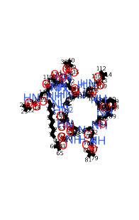 CCCCCCCC[C@H](N)C(=O)N[C@@H](CCNC(=O)OC(C)(C)C)C(=O)N[C@H](C(=O)N[C@@H](CNC(=O)OC(C)(C)C)C(=O)N[C@H]1CCNC(=O)[C@H]([C@@H](C)O)NC(=O)[C@H](CCNC(=O)OC(C)(C)C)NC(=O)[C@H](CCNC(=O)OC(C)(C)C)NC(=O)[C@H](CC(C)C)NC(O)[C@@H](Cc2ccccc2)NC(=O)[C@H](CCNC(=O)OC(C)(C)C)NC1=O)[C@@H](C)O